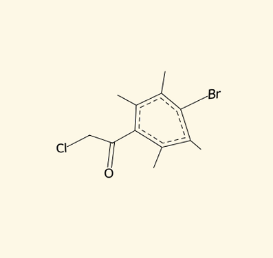 Cc1c(C)c(C(=O)CCl)c(C)c(C)c1Br